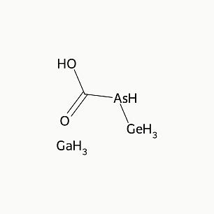 O=C(O)[AsH][GeH3].[GaH3]